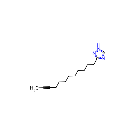 CC#CCCCCCCCCCc1nc[nH]n1